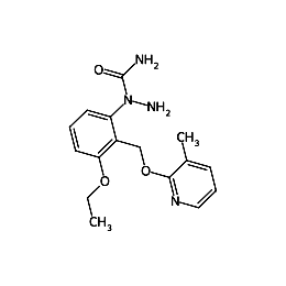 CCOc1cccc(N(N)C(N)=O)c1COc1ncccc1C